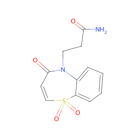 NC(=O)CCN1C(=O)C=CS(=O)(=O)c2ccccc21